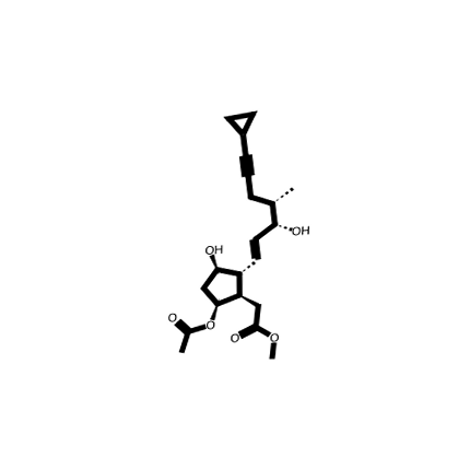 COC(=O)C[C@@H]1[C@@H](/C=C/[C@@H](O)[C@@H](C)CC#CC2CC2)[C@H](O)C[C@@H]1OC(C)=O